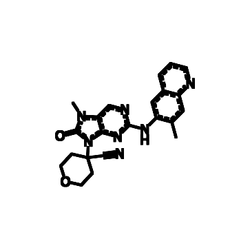 Cc1cc2ncccc2cc1Nc1ncc2c(n1)n(C1(C#N)CCOCC1)c(=O)n2C